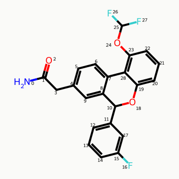 NC(=O)Cc1ccc2c(c1)C(c1cccc(F)c1)Oc1cccc(OC(F)F)c1-2